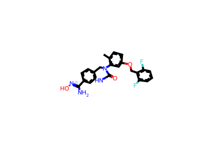 Cc1ccc(OCc2c(F)cccc2F)cc1N1Cc2ccc(/C(N)=N/O)cc2NC1=O